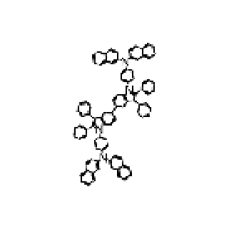 c1ccc(-c2c(-c3ccccc3)n(-c3ccc(N(c4ccc5ccccc5c4)c4ccc5ccccc5c4)cc3)c3ccc(-c4ccc5c(c4)c(-c4ccccc4)c(-c4ccccc4)n5-c4ccc(N(c5ccc6ccccc6c5)c5ccc6ccccc6c5)cc4)cc23)cc1